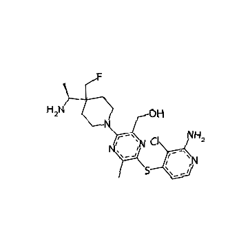 Cc1nc(N2CCC(CF)([C@H](C)N)CC2)c(CO)nc1Sc1ccnc(N)c1Cl